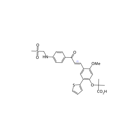 COc1cc(OC(C)(C)C(=O)O)c(-c2cccs2)cc1/C=C/C(=O)c1ccc(NCS(C)(=O)=O)cc1